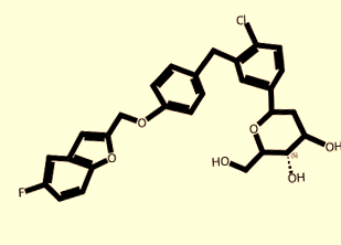 OCC1OC(c2ccc(Cl)c(Cc3ccc(OCc4cc5cc(F)ccc5o4)cc3)c2)CC(O)[C@@H]1O